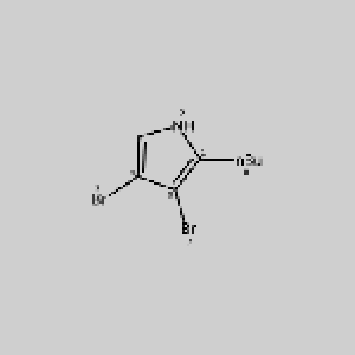 CCCCc1[nH]cc(Br)c1Br